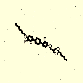 CCCCCCCOc1ccc(-c2ccc(-c3ccc(OCC4COC(CCCCC)OC4)cc3F)cc2)c(F)c1F